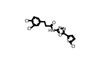 O=C(CCc1ccc(Cl)c(Cl)c1)Nc1nnc(-c2ccc(Cl)s2)o1